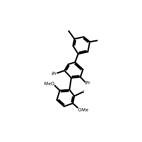 COc1ccc(OC)c(-c2c(C(C)C)cc(-c3cc(C)cc(C)c3)cc2C(C)C)c1I